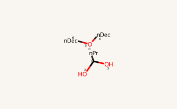 CCCC(O)O.CCCCCCCCCCOCCCCCCCCCC